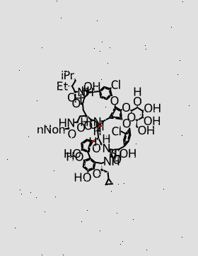 CCCCCCCCCC(=O)NC(=O)C[C@@H]1CC(=O)[C@H](NC(=O)[C@H](CC)CC(C)C)[C@H](O)c2ccc(c(Cl)c2)Oc2cc3cc(c2O[C@@H]2O[C@H](CO)[C@@H](O)[C@H](O)[C@H]2O)Oc2ccc(cc2Cl)[C@@H](O)[C@@H]2NC(=O)[C@H](CC(=O)[C@@H]3NC1=O)c1ccc(O)c(c1)-c1c(O)cc(O)cc1[C@@H](C(=O)CC1CC1)NC2=O